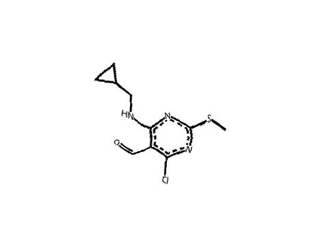 CSc1nc(Cl)c(C=O)c(NCC2CC2)n1